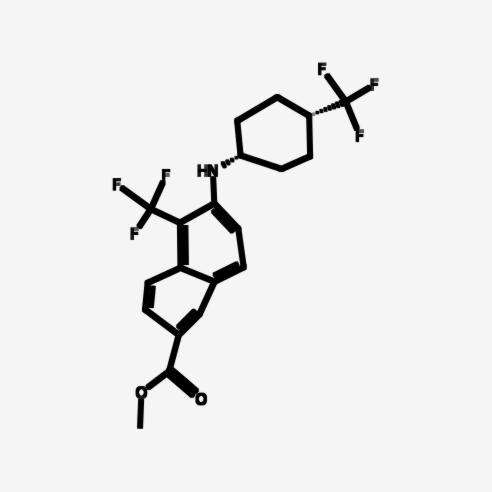 COC(=O)c1ccc2c(C(F)(F)F)c(N[C@H]3CC[C@@H](C(F)(F)F)CC3)ccc2c1